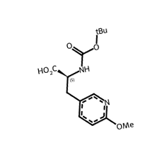 COc1ccc(C[C@H](NC(=O)OC(C)(C)C)C(=O)O)cn1